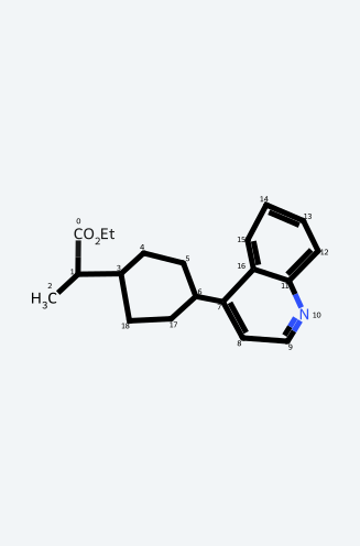 CCOC(=O)C(C)C1CCC(c2ccnc3ccccc23)CC1